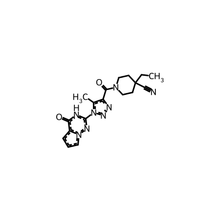 CCC1(C#N)CCN(C(=O)c2nnn(-c3nn4cccc4c(=O)[nH]3)c2C)CC1